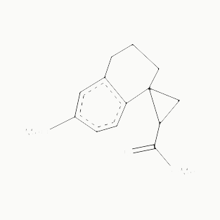 COC(=O)C1CC12CCCc1cc(OC)ccc12